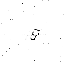 CC(C)[Si](C(C)C)(C(C)C)n1ccc2cc(C=O)cnc21